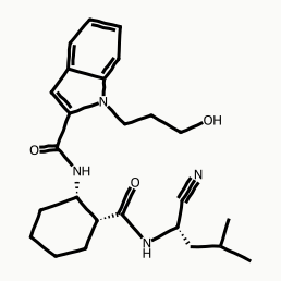 CC(C)C[C@@H](C#N)NC(=O)[C@@H]1CCCC[C@@H]1NC(=O)c1cc2ccccc2n1CCCO